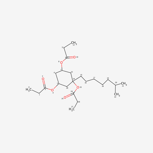 CCC(=O)OC1CC(OC(=O)CC)CC(CCCCCC(C)C)(OC(=O)CC)C1